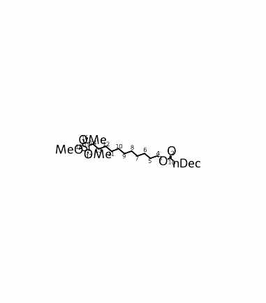 CCCCCCCCCCC(=O)OCCCCCCCCCCC[Si](OC)(OC)OC